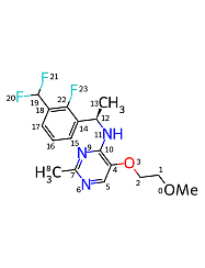 COCCOc1cnc(C)nc1N[C@H](C)c1cccc(C(F)F)c1F